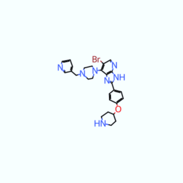 Brc1cnc2[nH]c(-c3ccc(OC4CCNCC4)cc3)nc2c1N1CCN(Cc2cccnc2)CC1